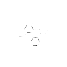 CCC(O)c1ccccc1-c1cc(C)ccc1OC